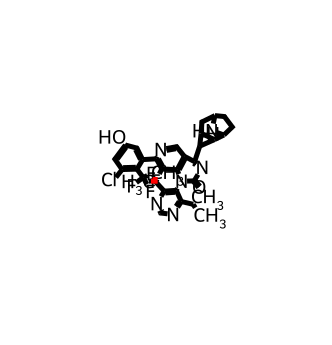 CC(C)c1ncnc(C(C)C)c1-n1c(=O)nc(C2C3C4CCC(C[C@H]23)N4)c2cnc(-c3cc(O)cc(Cl)c3C(F)(F)F)c(F)c21